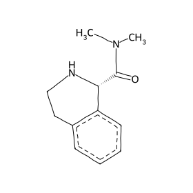 CN(C)C(=O)[C@H]1NCCc2ccccc21